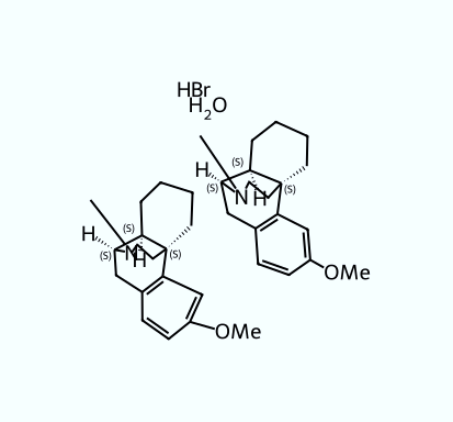 Br.COc1ccc2c(c1)[C@]13CCCC[C@@H]1[C@H](C2)N(C)CC3.COc1ccc2c(c1)[C@]13CCCC[C@@H]1[C@H](C2)N(C)CC3.O